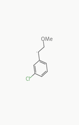 COC[CH]c1cccc(Cl)c1